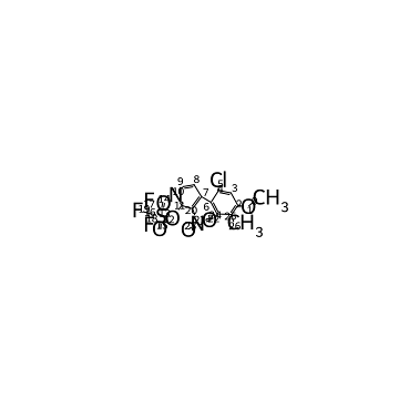 COc1cc(Cl)c(-c2ccnc(OS(=O)(=O)C(F)(F)F)c2[N+](=O)[O-])cc1C